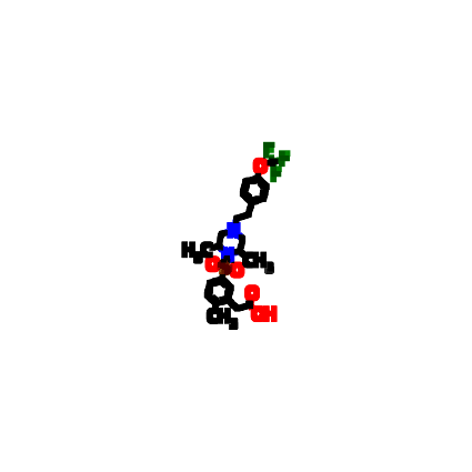 Cc1ccc(S(=O)(=O)N2C(C)CN(CCc3ccc(OC(F)(F)F)cc3)CC2C)cc1CC(=O)O